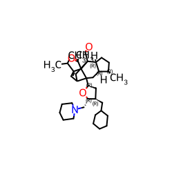 CC(=O)C12C(C(C)C)=CC3CC1(C=O)[C@@H]1CC[C@@H](C)[C@H]1CC32[C@H]1C[C@@H](CC2CCCCC2)[C@H](CN2CCCCC2)O1